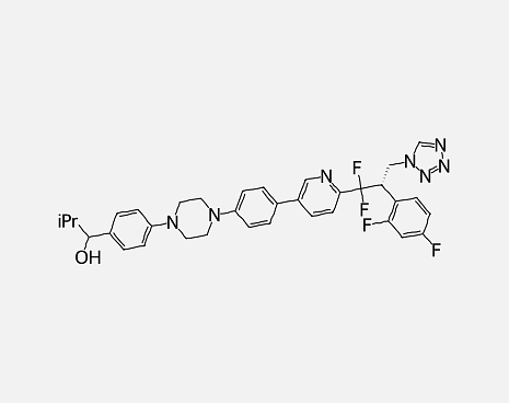 CC(C)C(O)c1ccc(N2CCN(c3ccc(-c4ccc(C(F)(F)[C@H](Cn5cnnn5)c5ccc(F)cc5F)nc4)cc3)CC2)cc1